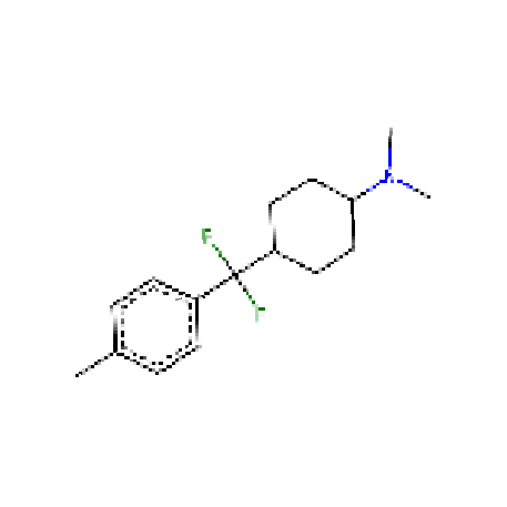 Cc1ccc(C(F)(F)C2CCC(N(C)C)CC2)cc1